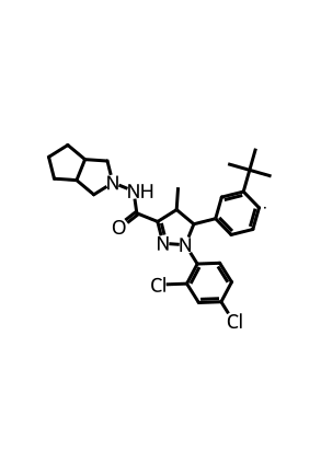 CC1C(C(=O)NN2CC3CCCC3C2)=NN(c2ccc(Cl)cc2Cl)C1c1cc[c]c(C(C)(C)C)c1